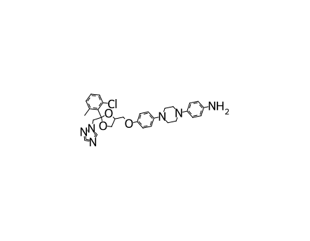 Cc1cccc(Cl)c1C1(Cn2cncn2)OCC(COc2ccc(N3CCN(c4ccc(N)cc4)CC3)cc2)O1